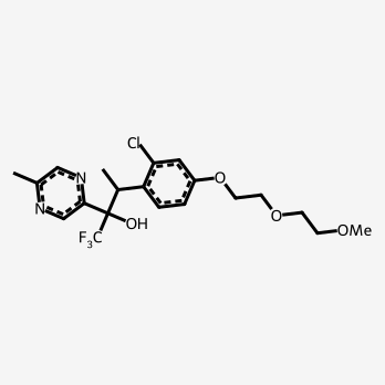 COCCOCCOc1ccc(C(C)C(O)(c2cnc(C)cn2)C(F)(F)F)c(Cl)c1